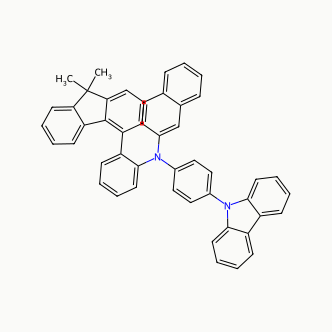 CC1(C)c2ccccc2-c2c(-c3ccccc3N(c3ccc(-n4c5ccccc5c5ccccc54)cc3)c3ccc4ccccc4c3)cccc21